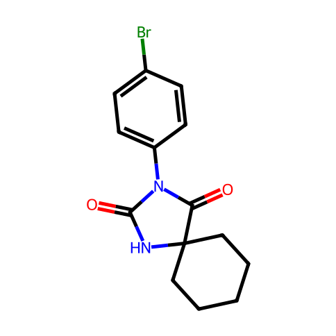 O=C1NC2(CCCCC2)C(=O)N1c1ccc(Br)cc1